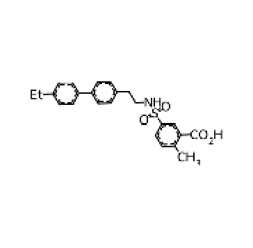 CCc1ccc(-c2ccc(CCNS(=O)(=O)c3ccc(C)c(C(=O)O)c3)cc2)cc1